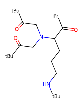 CC(C)C(=O)C(CCCNC(C)(C)C)N(CC(=O)C(C)(C)C)CC(=O)C(C)(C)C